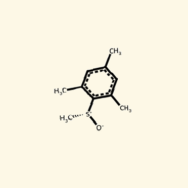 Cc1cc(C)c([S@@+](C)[O-])c(C)c1